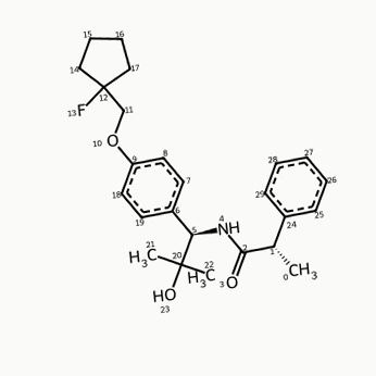 C[C@H](C(=O)N[C@H](c1ccc(OCC2(F)CCCC2)cc1)C(C)(C)O)c1ccccc1